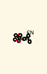 N#Cc1ccc2c(c1)c1cc(N3c4ccccc4S(c4ccccc4)(c4ccccc4)c4ccccc43)ccc1n2-c1ccccc1